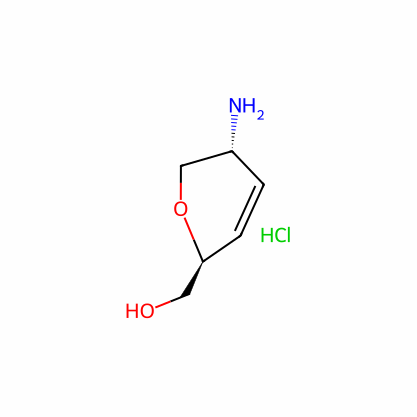 Cl.N[C@@H]1C=C[C@@H](CO)OC1